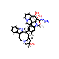 CCC1(O)C[C@H]2C[N@](CCc3c([nH]c4ccccc34)[C@@](C)(c3cc4c(cc3C)N(C)C3C45CCN4CC=C[C@](CC)(C45)[C@@H](O)[C@]3(O)C(=O)NN)C2)C1